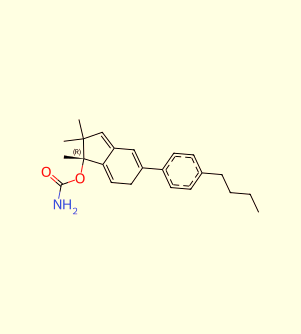 CCCCc1ccc(C2=CC3=CC(C)(C)[C@@](C)(OC(N)=O)C3=CC2)cc1